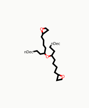 CCCCCCCCCCCCC(CCCCC1CCO1)OC(CCCCCCCCCCCC)CCCCC1CCO1